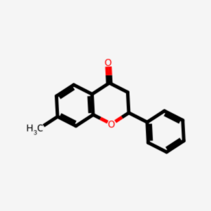 Cc1ccc2c(c1)OC(c1ccccc1)CC2=O